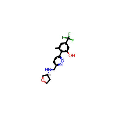 Cc1cc(C(F)(F)F)cc(O)c1-c1ccc(CN[C@@H]2CCOC2)nn1